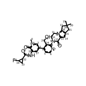 Cn1cc(-c2ccnc(N3CCn4c(cc5c4CC(C)(C)C5)C3=O)c2CO)cc(NC(=O)C2CC2F)c1=O